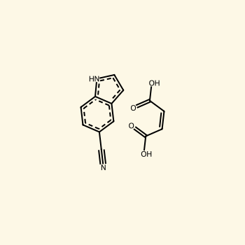 N#Cc1ccc2[nH]ccc2c1.O=C(O)/C=C\C(=O)O